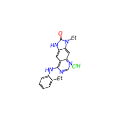 CCc1ccccc1Nc1ncnc2cc3c(cc12)[nH]c(=O)n3CC.Cl